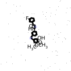 COc1cc(/C=C\c2cccc(N/C=C\C(=O)C3=CCCC(F)=C3)c2)cc(O)c1OC